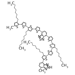 CCCCCCCCc1cc(C)sc1-c1ccc(-c2sc(-c3ccc(-c4ccc(-c5ccc(-c6cc(CCCCCCCC)c(-c7ccc(-c8sc(-c9ccc(C)c%10n[nH]nc9%10)cc8CCCCCCCC)s7)s6)s5)c5nsnc45)s3)cc2CCCCCCCC)s1